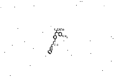 COC(=O)C(=Cc1ccc(OCC(O)CNCc2ccccc2)cc1)c1ccc(C)cc1